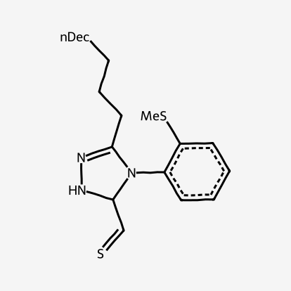 CCCCCCCCCCCCCC1=NNC(C=S)N1c1ccccc1SC